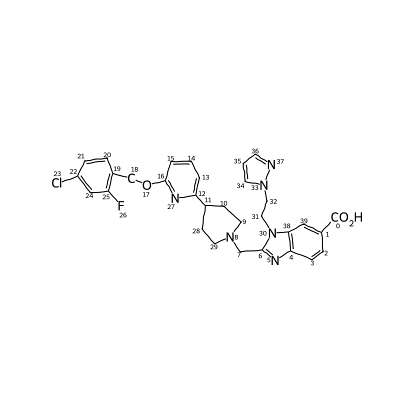 O=C(O)c1ccc2nc(CN3CCC(c4cccc(OCc5ccc(Cl)cc5F)n4)CC3)n(CCn3cccn3)c2c1